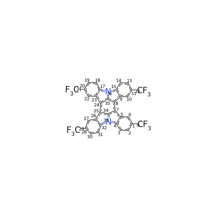 FC(F)(F)c1ccc2c(c1)c1c3c4cc(C(F)(F)F)ccc4n4c5ccc(C(F)(F)F)cc5c(c5c6cc(C(F)(F)F)ccc6n2c15)c34